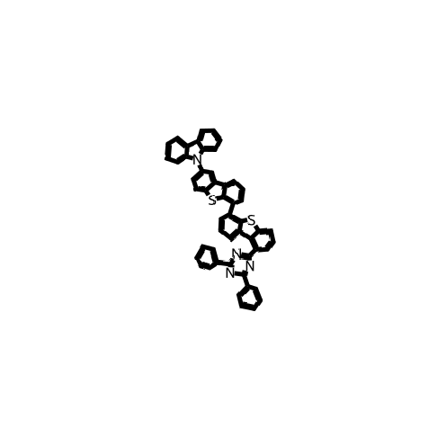 c1ccc(-c2nc(-c3ccccc3)nc(-c3cccc4sc5c(-c6cccc7c6sc6ccc(-n8c9ccccc9c9ccccc98)cc67)cccc5c34)n2)cc1